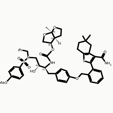 COc1ccc(S(=O)(=O)N(CC(C)C)C[C@@H](O)[C@H](Cc2ccc(OCc3ccccc3-c3sc4c(c3C(N)=O)CC(C)(C)CC4)cc2)NC(=O)O[C@H]2CO[C@@]3(C)OCC[C@@H]23)cc1